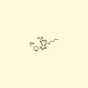 CCCCSc1nc(N)nc2c1ncn2[C@@H]1C=C[C@H](CO)C1